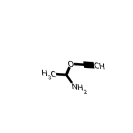 C#COC(C)N